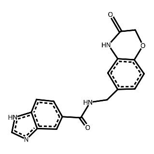 O=C1COc2ccc(CNC(=O)c3ccc4[nH]cnc4c3)cc2N1